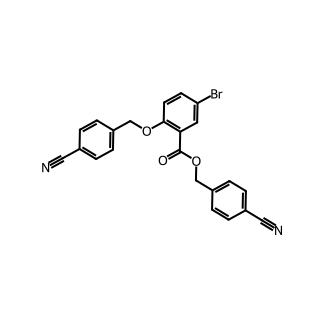 N#Cc1ccc(COC(=O)c2cc(Br)ccc2OCc2ccc(C#N)cc2)cc1